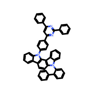 c1ccc(-c2cc(-c3ccc(-n4c5ccccc5c5ccc6c(c7ccccc7n6-c6ccccc6-c6ccccc6)c54)cc3)nc(-c3ccccc3)n2)cc1